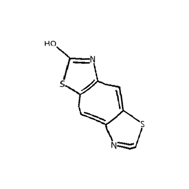 Oc1nc2cc3scnc3cc2s1